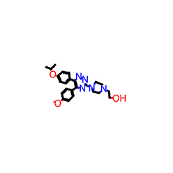 COc1ccc(-c2nc(N3CCN(CCO)CC3)nnc2-c2ccc(OC(C)C)cc2)cc1